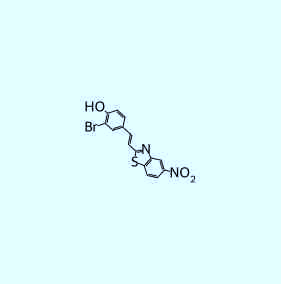 O=[N+]([O-])c1ccc2sc(C=Cc3ccc(O)c(Br)c3)nc2c1